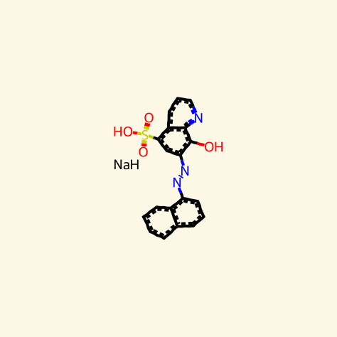 O=S(=O)(O)c1cc(N=Nc2cccc3ccccc23)c(O)c2ncccc12.[NaH]